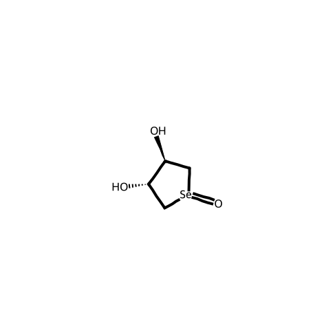 O=[Se]1C[C@H](O)[C@@H](O)C1